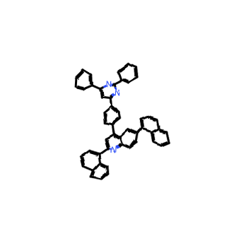 c1ccc(-c2cc(-c3ccc(-c4cc(-c5cccc6ccccc56)nc5ccc(-c6cccc7ccccc67)cc45)cc3)nc(-c3ccccc3)n2)cc1